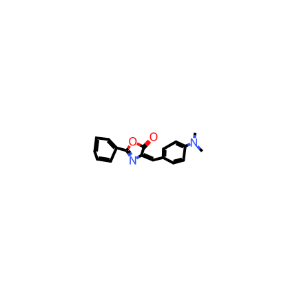 CN(C)c1ccc(C=C2N=C(c3ccccc3)OC2=O)cc1